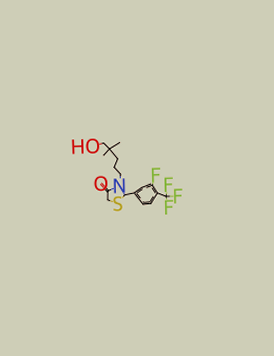 CC(C)(CO)CCCN1C(=O)CSC1c1ccc(C(F)(F)F)c(F)c1